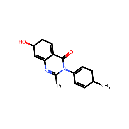 CC1C=CC(n2c(C(C)C)nc3c(c2=O)=CCC(O)C=3)=CC1